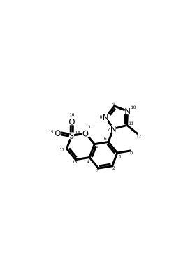 Cc1ccc2c(c1-n1ncnc1C)OS(=O)(=O)C=C2